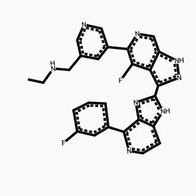 CCNCc1cncc(-c2ncc3[nH]nc(-c4nc5c(-c6cccc(F)c6)nccc5[nH]4)c3c2F)c1